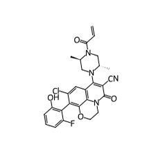 C=CC(=O)N1C[C@H](C)N(c2c(C#N)c(=O)n3c4c(c(-c5c(O)cccc5F)c(Cl)cc24)OCC3)C[C@H]1C